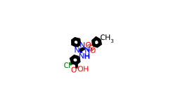 Cc1ccc(S(=O)(=O)Nc2nc3ccccc3nc2Nc2ccc(Cl)c(C(=O)O)c2)cc1